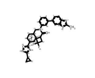 Cc1nc2ccc(-c3cccc(N(CC45CCC(c6nc(C7CC7)no6)(CC4)OC5)C(=O)C4CC(F)(F)C4)c3)cc2s1